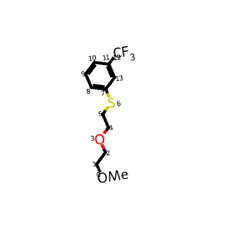 COCCOCCSc1cccc(C(F)(F)F)c1